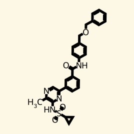 Cc1ncc(-c2cccc(C(=O)Nc3ccc(COCc4ccccc4)cc3)c2)nc1NS(=O)(=O)C1CC1